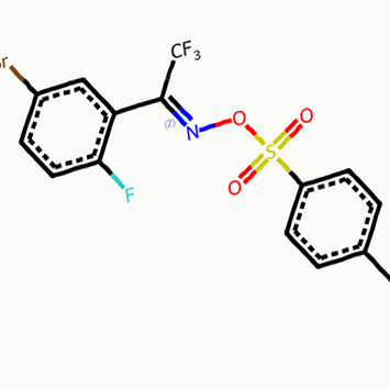 Cc1ccc(S(=O)(=O)O/N=C(/c2cc(Br)ccc2F)C(F)(F)F)cc1